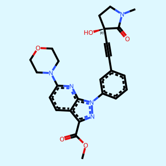 COC(=O)c1nn(-c2cccc(C#C[C@]3(O)CCN(C)C3=O)c2)c2nc(N3CCOCC3)ccc12